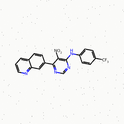 O=[N+]([O-])c1c(Nc2ccc(C(F)(F)F)cc2)ncnc1-c1ccc2cccnc2c1